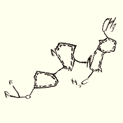 Cc1ccc2nc(C)n(-c3ccnc(-c4ccc(OC(F)F)cc4)n3)c2c1